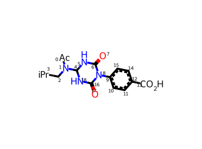 CC(=O)N(CC(C)C)C1NC(=O)N(c2ccc(C(=O)O)cc2)C(=O)N1